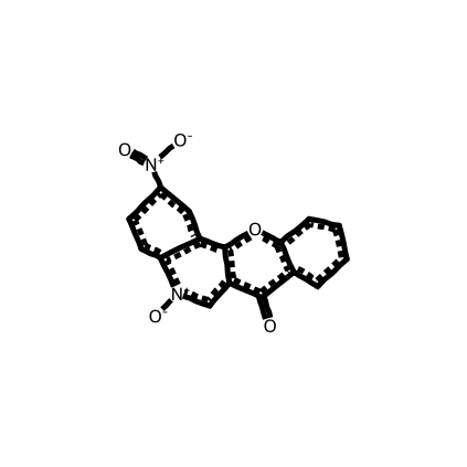 O=c1c2ccccc2oc2c1c[n+]([O-])c1ccc([N+](=O)[O-])cc21